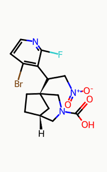 O=C(O)N1C[C@@H]2CC[C@@](C(C[N+](=O)[O-])c3c(Br)ccnc3F)(C2)C1